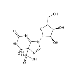 O=C1N=C2N([C@@H]3O[C@H](CO)[C@@H](O)[C@H]3O)C=NC2(P(=O)(O)O)C(=O)N1